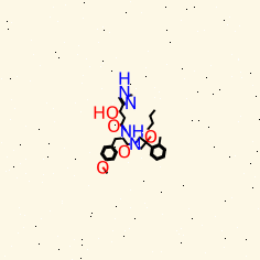 CCCCOC1(c2ccccc2C)CN(C(=O)C(Cc2ccc(OC)cc2)NC(=O)CC(O)c2c[nH]cn2)C1